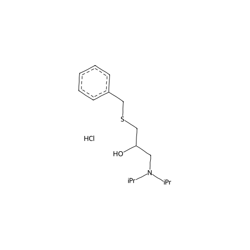 CC(C)N(CC(O)CSCc1ccccc1)C(C)C.Cl